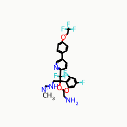 C/N=C\NCC(OC(=O)CN)(c1ccc(F)cc1F)C(F)(F)c1ccc(-c2ccc(OCC(F)(F)F)cc2)cn1